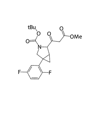 COC(=O)CC(=O)C1C2CC2(c2cc(F)ccc2F)CN1C(=O)OC(C)(C)C